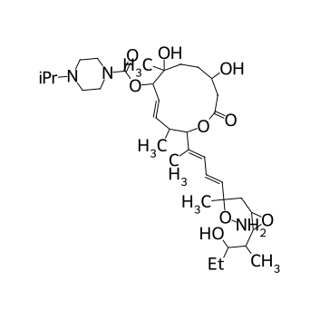 CCC(O)C(C)C1OC1CC(C)(/C=C/C=C(\C)C1OC(=O)CC(O)CCC(C)(O)C(OC(=O)N2CCN(C(C)C)CC2)/C=C/C1C)ON